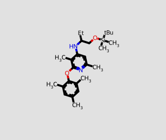 CCC(CO[Si](C)(C)C(C)(C)C)Nc1cc(C)nc(Oc2c(C)cc(C)cc2C)c1C